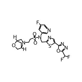 O=S(=O)(CCN1C[C@@H]2C[C@H]1CO2)N(Cc1ncc(-c2nnc(C(F)F)o2)s1)c1cncc(F)c1